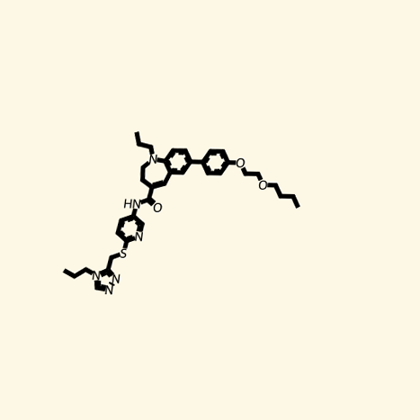 CCCCOCCOc1ccc(-c2ccc3c(c2)C=C(C(=O)Nc2ccc(SCc4nncn4CCC)nc2)CCN3CCC)cc1